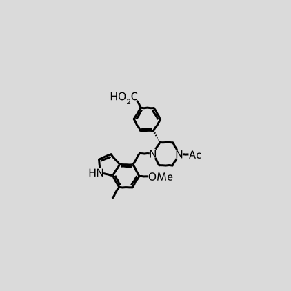 COc1cc(C)c2[nH]ccc2c1CN1CCN(C(C)=O)C[C@H]1c1ccc(C(=O)O)cc1